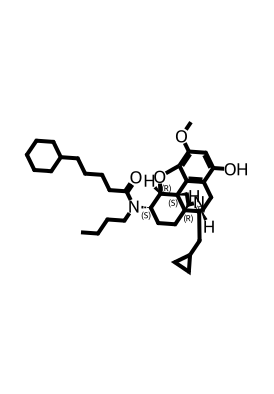 CCCCN(C(=O)CCCCC1CCCCC1)[C@H]1CC[C@H]2[C@H]3Cc4c(O)cc(OC)c5c4[C@@]2(CCN3CC2CC2)[C@H]1O5